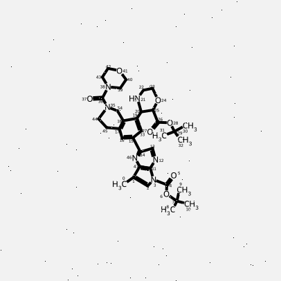 Cc1cn(C(=O)OC(C)(C)C)c2ncc(-c3cc4c(c(C5NCCOC5C(=O)OC(C)(C)C)c3)CN(C(=O)N3CCOCC3)CC4)nc12